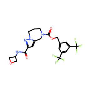 O=C(NC1COC1)c1cc2n(n1)CCCN(C(=O)OCc1cc(C(F)(F)F)cc(C(F)(F)F)c1)C2